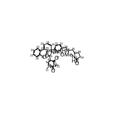 COc1nc(C2(NC(=O)c3cn(C)c(=O)n(C)c3=O)C=CC=C(c3ccccc3Cl)[C@@H]2F)ccc1CNCC1CCC(=O)N1